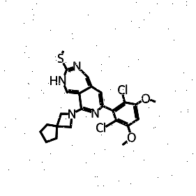 COc1cc(OC)c(Cl)c(-c2cc3c(c(N4CC5(CCCC5)C4)n2)=CNC(SC)=NC=3)c1Cl